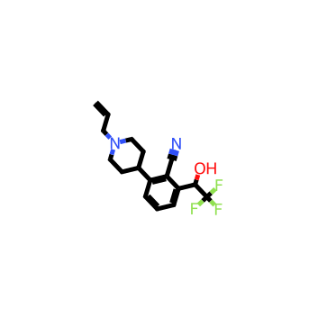 C=CCN1CCC(c2cccc(C(O)C(F)(F)F)c2C#N)CC1